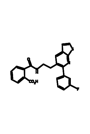 O=C(O)c1ccccc1C(=O)NCCc1cc2ccsc2nc1-c1cccc(F)c1